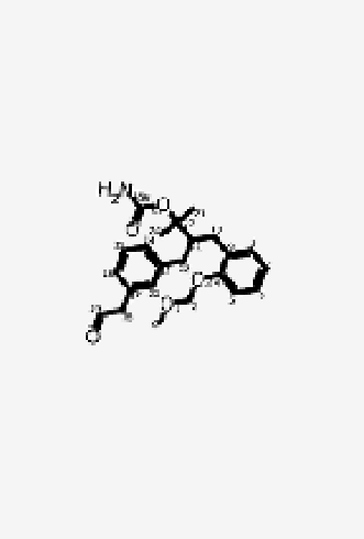 COCOc1ccccc1CC(Cc1cccc(CC=O)c1)C(C)(C)OC(N)=O